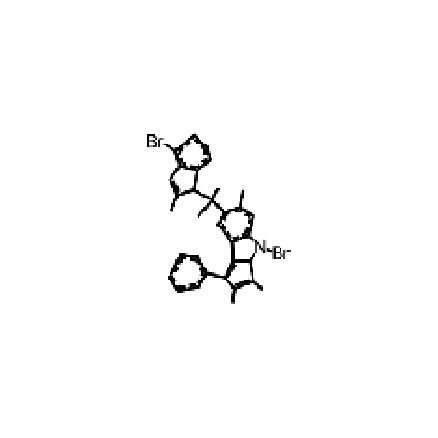 CC1=Cc2c(Br)cccc2C1C(C)(C)c1cc2c(cc1C)N(Br)C1C(C)=C(C)C(c3ccccc3)=C21